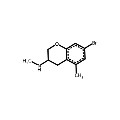 CNC1COc2cc(Br)cc(C)c2C1